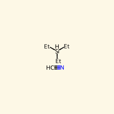 C#N.CC[SiH](CC)CC